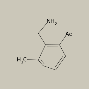 CC(=O)c1cccc(C)c1CN